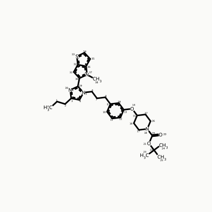 CCCc1cn(CCCc2cccc(OC3CCN(C(=O)OC(C)(C)C)CC3)c2)c(-c2cc3sccc3n2C)n1